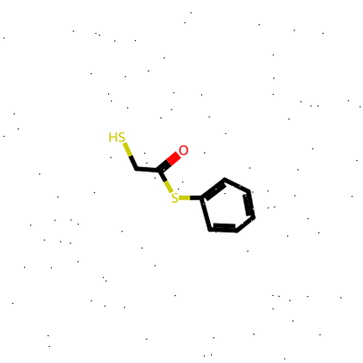 O=C(CS)Sc1ccccc1